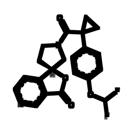 O=C1O[C@]2(CCN(C(=O)C3(c4ccc(OC(F)F)cc4)CC3)C2)c2ccncc21